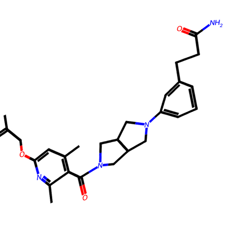 CC(=O)COc1cc(C)c(C(=O)N2CC3CN(c4cccc(CCC(N)=O)c4)CC3C2)c(C)n1